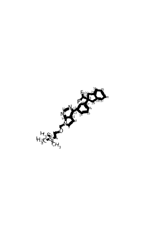 C[Si](C)(C)CCOCn1ccc2c(-c3cccc(C4(C(F)F)Cc5ccccc5C4)c3)ncnc21